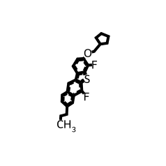 CCCc1ccc2cc3c(sc4c(F)c(OCC5CCCC5)ccc43)c(F)c2c1